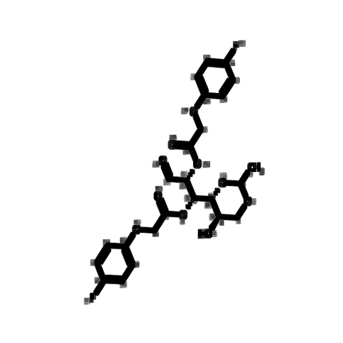 CC1OC[C@@H](O)[C@H]([C@H](OC(=O)COc2ccc(F)cc2)[C@H](C=O)OC(=O)COc2ccc(F)cc2)O1